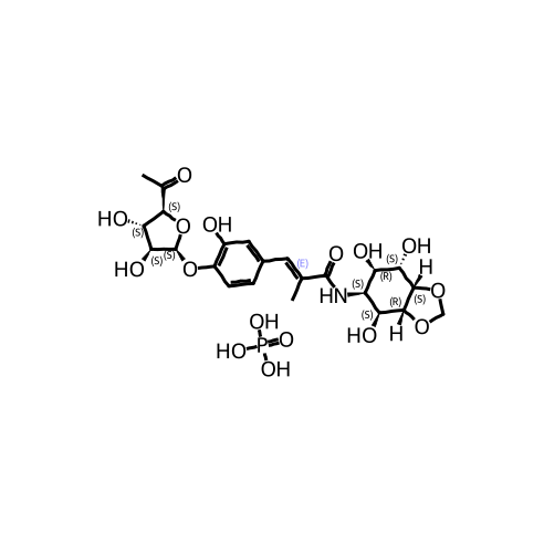 CC(=O)[C@H]1O[C@@H](Oc2ccc(/C=C(\C)C(=O)N[C@H]3[C@@H](O)[C@H](O)[C@@H]4OCO[C@@H]4[C@H]3O)cc2O)[C@@H](O)[C@@H]1O.O=P(O)(O)O